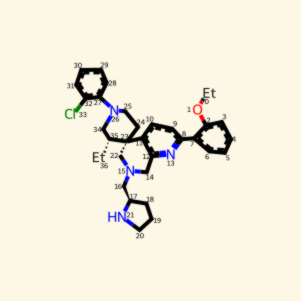 CCOc1ccccc1-c1ccc2c(n1)CN(C[C@H]1CCCN1)C[C@]21CCN(c2ccccc2Cl)C[C@H]1CC